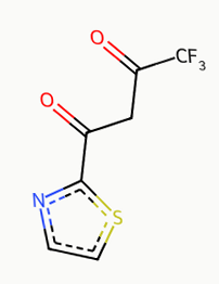 O=C(CC(=O)C(F)(F)F)c1nccs1